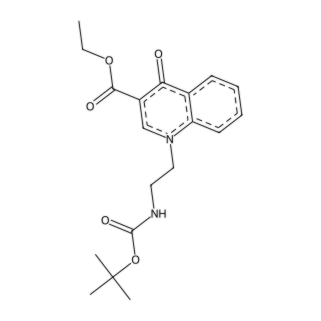 CCOC(=O)c1cn(CCNC(=O)OC(C)(C)C)c2ccccc2c1=O